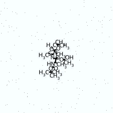 CC(=O)O.CSC(=NC(=O)C(C)NC(=O)OC(C)(C)C)N(C)C(=O)OC(C)(C)C